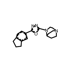 c1cc2c(cc1-c1nnc(N3CCN4CCC3CC4)o1)CCC2